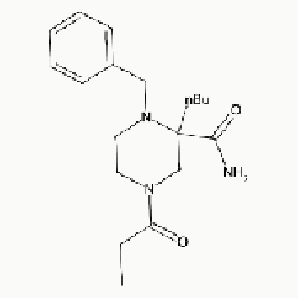 CCCCC1(C(N)=O)CN(C(=O)CI)CCN1Cc1ccccc1